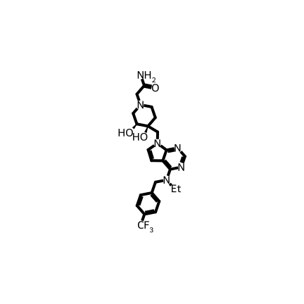 CCN(Cc1ccc(C(F)(F)F)cc1)c1ncnc2c1ccn2C[C@@]1(O)CCN(CC(N)=O)C[C@@H]1O